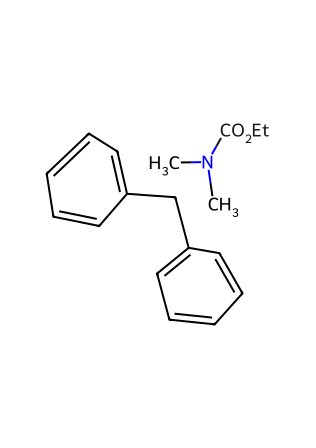 CCOC(=O)N(C)C.c1ccc(Cc2ccccc2)cc1